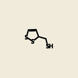 SCC1C=CSS1